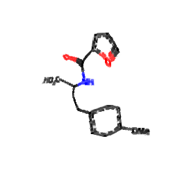 COc1ccc(CC(NC(=O)c2ccco2)C(=O)O)cc1